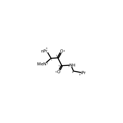 CCCC(NC)C(=O)C(=O)NCC(C)C